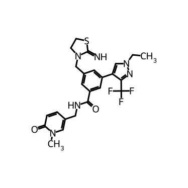 CCn1cc(-c2cc(CN3CCSC3=N)cc(C(=O)NCc3ccc(=O)n(C)c3)c2)c(C(F)(F)F)n1